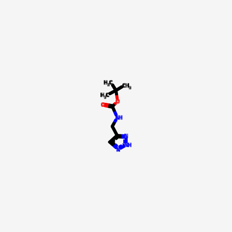 CC(C)(C)OC(=O)NCc1cn[nH]n1